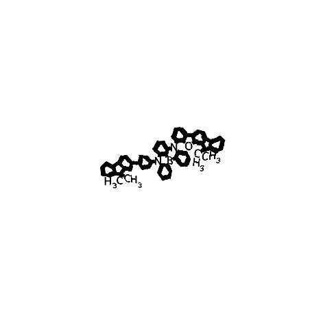 CC1(C)c2ccccc2-c2ccc(-c3ccc(N4c5ccccc5B5c6ccccc6N(c6cccc7c6oc6c8c(ccc67)-c6ccccc6C8(C)C)c6cccc4c65)cc3)cc21